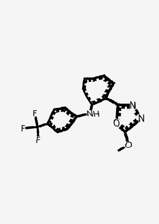 COc1nnc(-c2ccccc2Nc2ccc(C(F)(F)F)cc2)o1